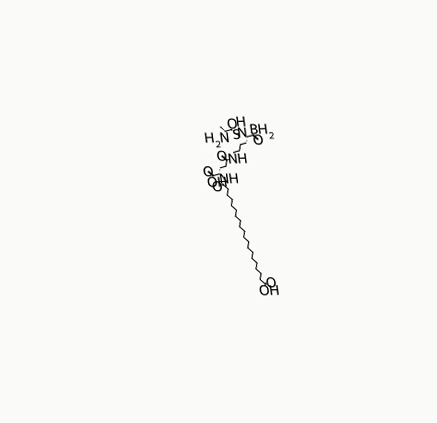 BC(=O)[C@H](CCCCNC(=O)CC[C@H](NC(=O)CCCCCCCCCCCCCCCCCCC(=O)O)C(=O)O)NSC(=O)[C@H](C)N